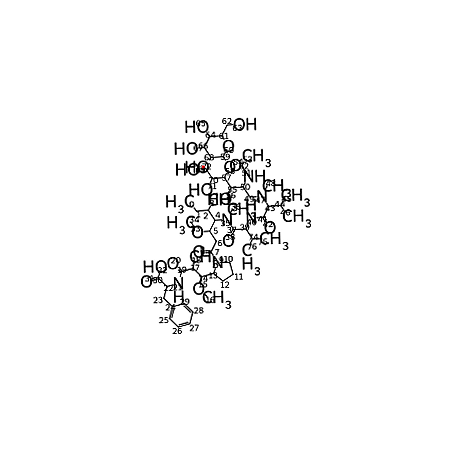 CCC(C)C(C(CC(=O)N1CCCC1C(OC)C(C)C(=O)NC(Cc1ccccc1)C(=O)O)OC)N(C)C(=O)C(NC(=O)C(C(C)C)N(C)CC(NC(C)=O)C(O)C(OC1OC(CO)C(O)C(O)C1O)C(O)CO)C(C)C